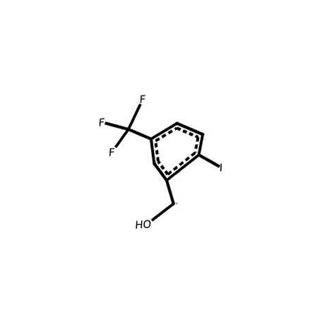 O[CH]c1cc(C(F)(F)F)ccc1I